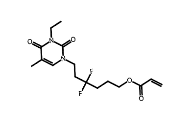 C=CC(=O)OCCCC(F)(F)CCn1cc(C)c(=O)n(CC)c1=O